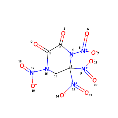 O=C1C(=O)N([N+](=O)[O-])C([N+](=O)[O-])([N+](=O)[O-])CN1[N+](=O)[O-]